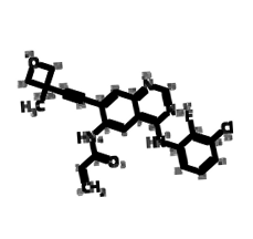 C=CC(=O)Nc1cc2c(Nc3cccc(Cl)c3F)ncnc2cc1C#CC1(C)COC1